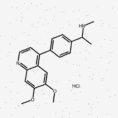 CNC(C)c1ccc(-c2ccnc3cc(OC)c(OC)cc23)cc1.Cl